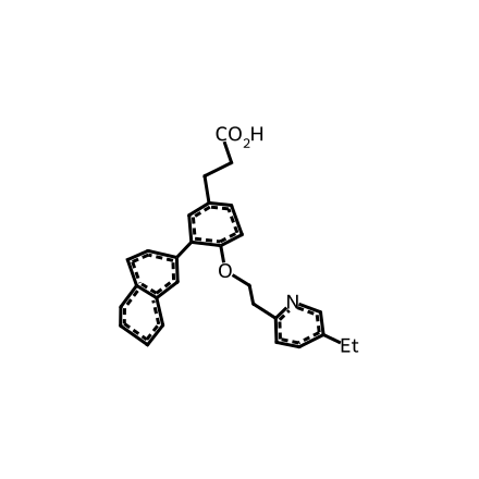 CCc1ccc(CCOc2ccc(CCC(=O)O)cc2-c2ccc3ccccc3c2)nc1